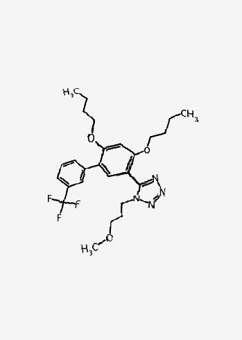 CCCCOc1cc(OCCCC)c(-c2nnnn2CCCOC)cc1-c1cccc(C(F)(F)F)c1